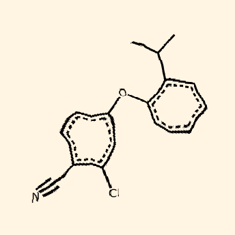 CC(C)c1ccccc1Oc1ccc(C#N)c(Cl)c1